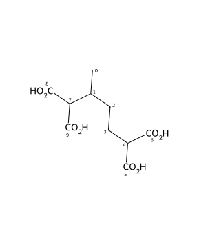 CC(CCC(C(=O)O)C(=O)O)C(C(=O)O)C(=O)O